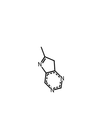 CC1=Nc2cncnc2C1